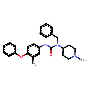 CCCC(C)N1CCC(N(Cc2ccccc2)C(=O)Nc2ccc(Oc3ccccc3)c(C(F)(F)F)c2)CC1